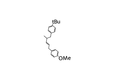 COc1ccc(CC=CC(C)Cc2ccc(C(C)(C)C)cc2)cc1